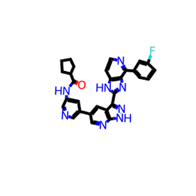 O=C(Nc1cncc(-c2cnc3[nH]nc(-c4nc5c(-c6cccc(F)c6)nccc5[nH]4)c3c2)c1)C1CCCC1